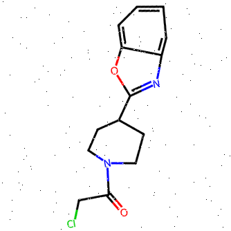 O=C(CCl)N1CCC(c2nc3ccccc3o2)CC1